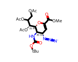 COC(=O)C1=C[C@H](N=[N+]=[N-])[C@@H](NC(=O)OC(C)(C)C)[C@H]([C@H](OC(C)=O)C(COC(C)=O)OC(C)=O)O1